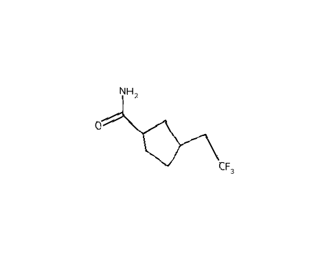 NC(=O)C1CCC(CC(F)(F)F)C1